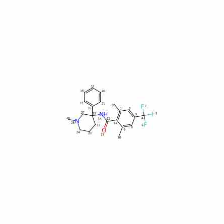 Cc1cc(C(F)(F)F)cc(C)c1C(=O)NC1(c2ccccc2)CCCN(C)C1